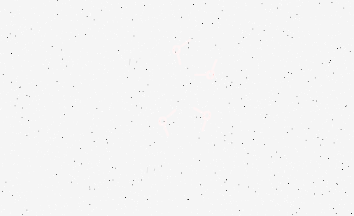 CCC1(C2OCC(C)O2)OCCO1